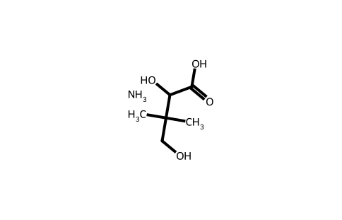 CC(C)(CO)C(O)C(=O)O.N